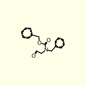 O=CCN(Cc1ccccc1)C(=O)OCc1ccccc1